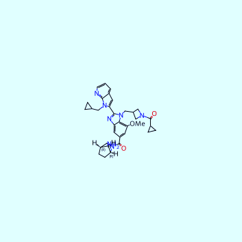 COc1cc(C(=O)N2C[C@H]3CC[C@@H]2[C@@H]3N)cc2nc(-c3cc4cccnc4n3CC3CC3)n(CC3CN(C(=O)C4CC4)C3)c12